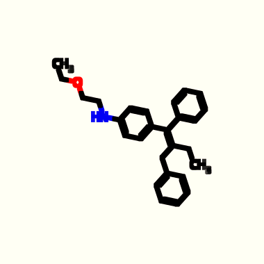 CCOCCNc1ccc(/C(=C(/CC)Cc2ccccc2)c2ccccc2)cc1